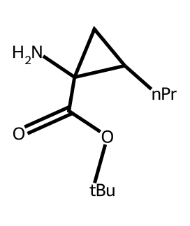 CCCC1CC1(N)C(=O)OC(C)(C)C